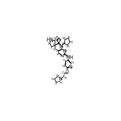 O=C1NCCC12Cc1cnc(Nc3ccc(OCCN4CCCC4)nc3)nc1N(C1CCCC1)C2=O